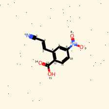 N#C/C=C/c1cc([N+](=O)[O-])ccc1C(=O)O